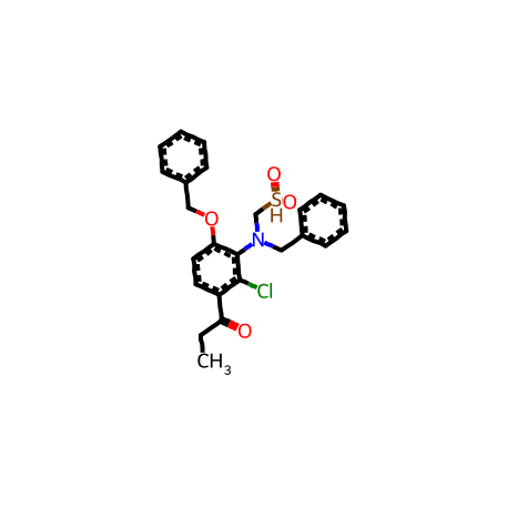 CCC(=O)c1ccc(OCc2ccccc2)c(N(Cc2ccccc2)C[SH](=O)=O)c1Cl